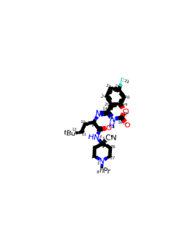 CCCN1CCC(C#N)(NC(=O)C(CCC(C)(C)C)N=c2[nH]c(=O)oc3cc(F)ccc23)CC1